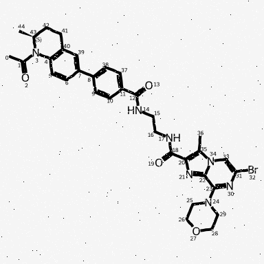 CC(=O)N1c2ccc(-c3ccc(C(=O)NCCNC(=O)c4nc5c(N6CCOCC6)nc(Br)cn5c4C)cc3)cc2CC[C@@H]1C